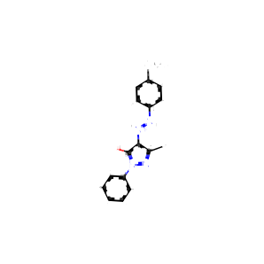 COc1ccc(/N=N/c2c(C)nn(-c3ccccc3)c2O)cc1